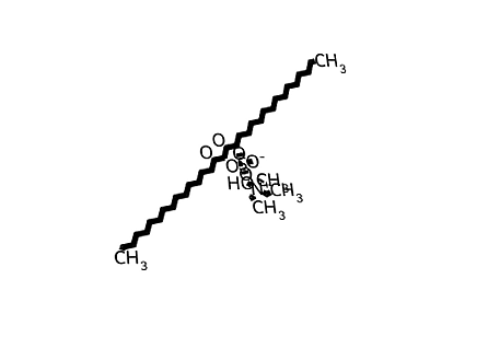 CCCCCCCCCCCCCCCC(=O)C(OS(=O)(=O)[O-])C(=O)CCCCCCCCCCCCCCC.CC[N+](C)(O)CC